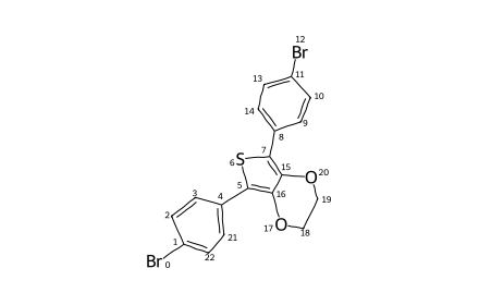 Brc1ccc(-c2sc(-c3ccc(Br)cc3)c3c2OCCO3)cc1